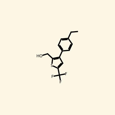 CCc1ccc(-c2cc(C(F)(F)F)sc2CO)cc1